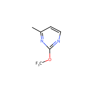 Cc1ccnc(OC(F)(F)F)n1